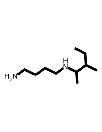 CCC(C)C(C)NCCCCN